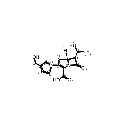 CC(O)[C@H]1C(=O)N2C(C(=O)O)=C(n3cnc(CO)c3)S[C@H]12